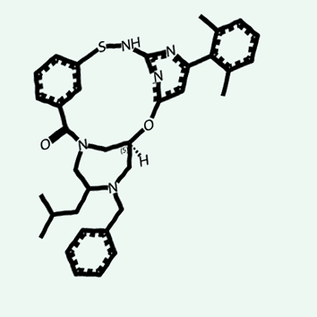 Cc1cccc(C)c1-c1cc2nc(n1)NSc1cccc(c1)C(=O)N1CC(CC(C)C)N(Cc3ccccc3)C[C@@H](C1)O2